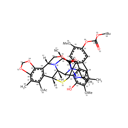 C=CCN1C2c3c(cc(C)c(OC)c3O)CC1[C@H](C#N)N1[C@H]2[C@@H]2SC[C@]3(NCCc4cc(OC(=O)OC(C)(C)C)c(OC)cc43)C(=O)OC[C@H]1c1c3c(c(C)c(OC(C)=O)c12)OCO3